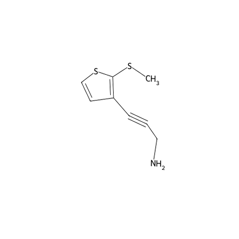 CSc1sccc1C#CCN